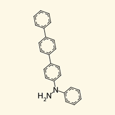 NN(c1ccccc1)c1ccc(-c2ccc(-c3ccccc3)cc2)cc1